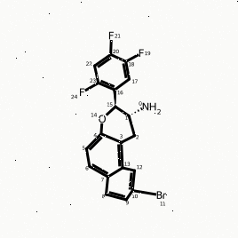 N[C@@H]1Cc2c(ccc3ccc(Br)cc23)O[C@H]1c1cc(F)c(F)cc1F